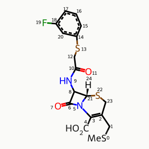 CSCC1=C(C(=O)O)N2C(=O)C(NC(=O)CSc3cccc(F)c3)[C@@H]2SC1